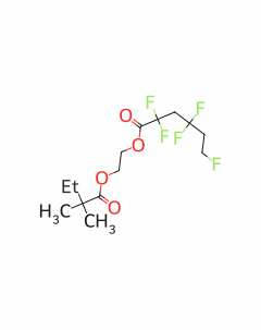 CCC(C)(C)C(=O)OCCOC(=O)C(F)(F)CC(F)(F)CCF